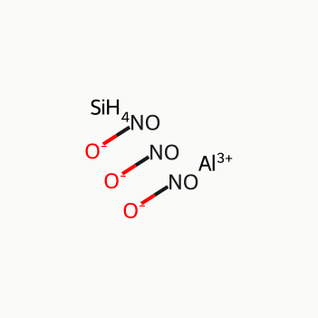 O=N[O-].O=N[O-].O=N[O-].[Al+3].[SiH4]